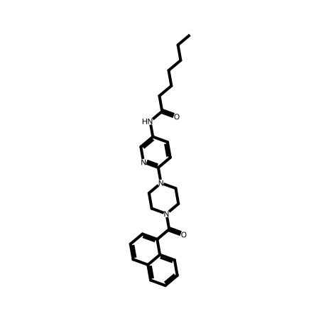 CCCCCCC(=O)Nc1ccc(N2CCN(C(=O)c3cccc4ccccc34)CC2)nc1